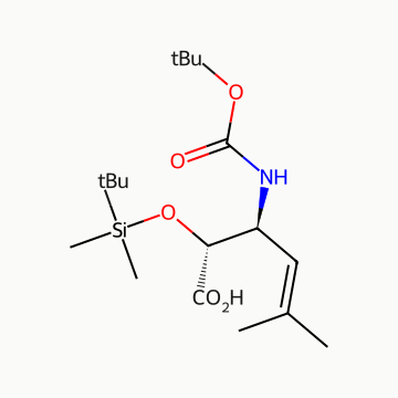 CC(C)=C[C@H](NC(=O)OC(C)(C)C)[C@@H](O[Si](C)(C)C(C)(C)C)C(=O)O